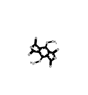 COc1c2c(=O)oc(=O)c2c(OC)c2c(=O)oc(=O)c12